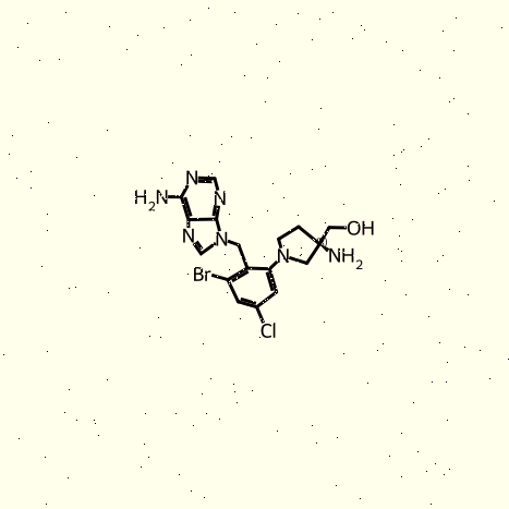 Nc1ncnc2c1ncn2Cc1c(Br)cc(Cl)cc1N1CC[C@](N)(CO)C1